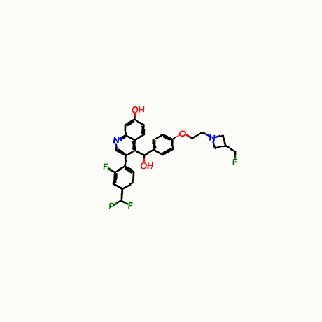 Oc1ccc2c(C(O)c3ccc(OCCN4CC(CF)C4)cc3)c(C3=CCC(C(F)F)C=C3F)cnc2c1